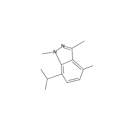 Cc1ccc(C(C)C)c2c1c(C)nn2C